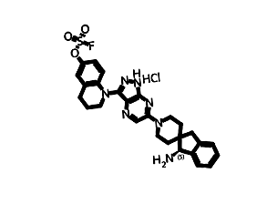 Cl.N[C@@H]1c2ccccc2CC12CCN(c1cnc3c(N4CCCc5cc(OS(=O)(=O)F)ccc54)n[nH]c3n1)CC2